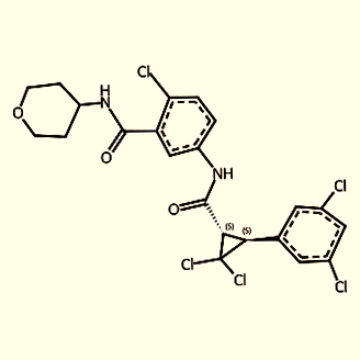 O=C(NC1CCOCC1)c1cc(NC(=O)[C@@H]2[C@@H](c3cc(Cl)cc(Cl)c3)C2(Cl)Cl)ccc1Cl